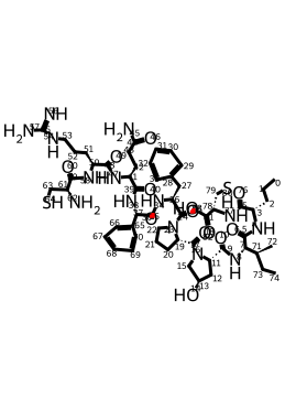 CCC[C@H](NC(=O)[C@@H](NC(=O)[C@@H]1C[C@@H](O)CN1C(=O)[C@@H]1CCCN1C(=O)[C@H](Cc1ccccc1)NC(=O)[C@@H](NC(=O)[C@H](CCC(N)=O)NC(=O)[C@H](CCCNC(=N)N)NC(=O)[C@@H](N)CS)c1ccccc1)[C@@H](C)CC)C(=O)N[C@@H](CS)C(=O)O